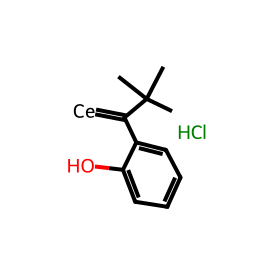 CC(C)(C)[C](=[Ce])c1ccccc1O.Cl